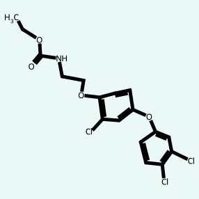 CCOC(=O)NCCOc1ccc(Oc2ccc(Cl)c(Cl)c2)cc1Cl